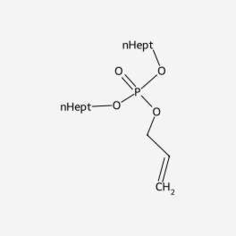 C=CCOP(=O)(OCCCCCCC)OCCCCCCC